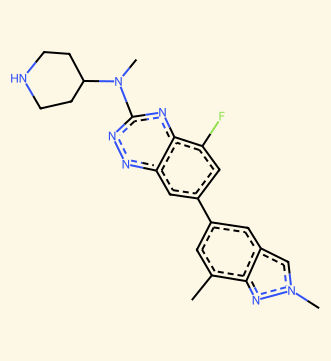 Cc1cc(-c2cc(F)c3nc(N(C)C4CCNCC4)nnc3c2)cc2cn(C)nc12